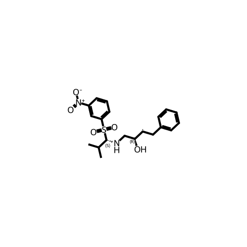 CC(C)[C@@H](NC[C@H](O)[CH]Cc1ccccc1)S(=O)(=O)c1cccc([N+](=O)[O-])c1